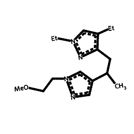 CCc1cn(CC)nc1CC(C)c1cnn(CCOC)c1